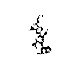 C=Cc1cc(-c2cc(C#N)c(N3CCN(C(=O)CCO)[C@H](C4CC4)C3)nc2C2CC2)c2cc[nH]c2n1